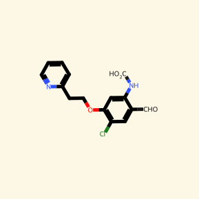 O=Cc1cc(Cl)c(OCCc2ccccn2)cc1NC(=O)O